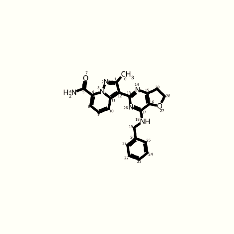 Cc1nn2c(C(N)=O)cccc2c1-c1nc2c(c(NCc3ccccc3)n1)OCC2